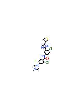 C[C@@H]1CN(c2cc(Cl)c(C(=O)Nc3ccc(Cl)c(-c4ncc(-c5ccsc5)[nH]4)c3)cc2F)C[C@H](C)N1C